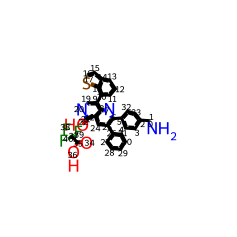 NCc1ccc(-c2nc3c(-c4cccc5ccsc45)cnc(O)c3cc2-c2ccccc2)cc1.O=C(O)C(F)(F)F